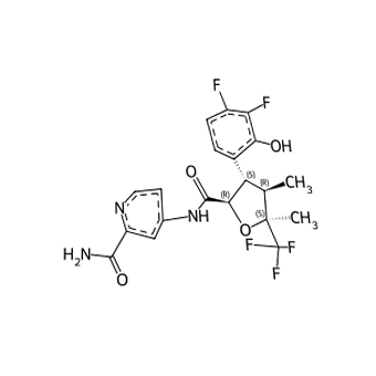 C[C@@H]1[C@@H](c2ccc(F)c(F)c2O)[C@H](C(=O)Nc2ccnc(C(N)=O)c2)O[C@]1(C)C(F)(F)F